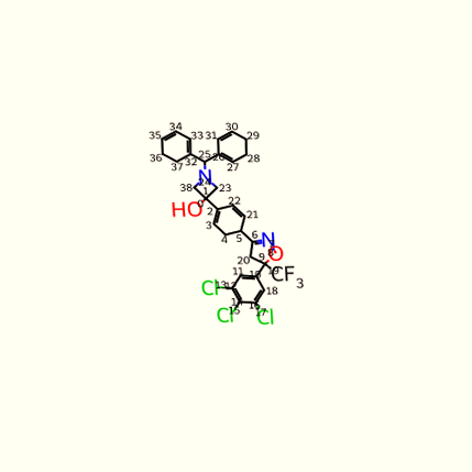 OC1(C2=CCC(C3=NOC(c4cc(Cl)c(Cl)c(Cl)c4)(C(F)(F)F)C3)C=C2)CN(C(C2=CCCC=C2)C2=CC=CCC2)C1